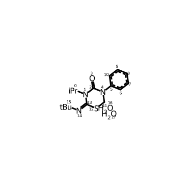 CC(C)N1C(=O)N(c2ccccc2)CSC1=NC(C)(C)C.O.O